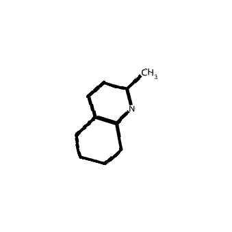 CC1CCC2CCCCC2[N]1